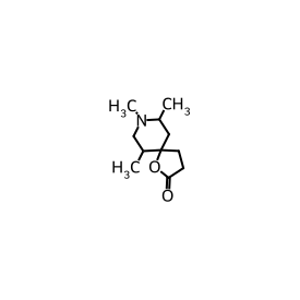 CC1CC2(CCC(=O)O2)C(C)CN1C